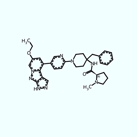 CCOc1cc(-c2ccc(N3CCC(Cc4ccccc4)(NC(=O)[C@H]4CCCN4C)CC3)nc2)c2c3cn[nH]c3nn2c1